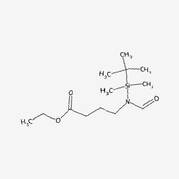 CCOC(=O)CCCN(C=O)[Si](C)(C)C(C)(C)C